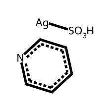 O=[S](=O)(O)[Ag].c1ccncc1